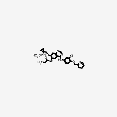 C=CC(=O)Nc1cc2c(Nc3ccc(OCc4ccccn4)c(Cl)c3)ncnc2cc1OCC1(NC(=O)O)CC1